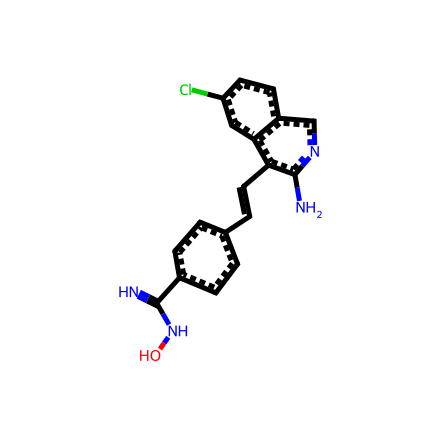 N=C(NO)c1ccc(/C=C/c2c(N)ncc3ccc(Cl)cc23)cc1